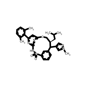 Cc1cccc(C)c1-c1cc2nc(n1)NS(=O)(=O)c1cccc(c1)C(c1cnn(C)c1)[C@H](CC(C)C)CO2